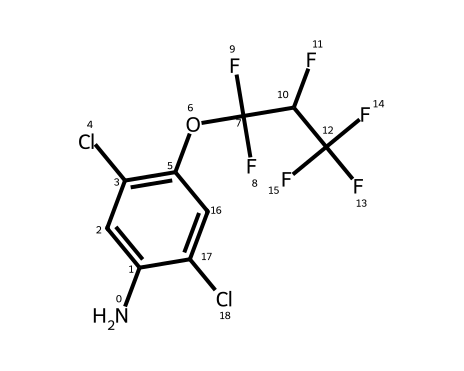 Nc1cc(Cl)c(OC(F)(F)C(F)C(F)(F)F)cc1Cl